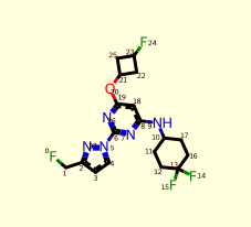 FCc1ccn(-c2nc(NC3CCC(F)(F)CC3)cc(OC3CC(F)C3)n2)n1